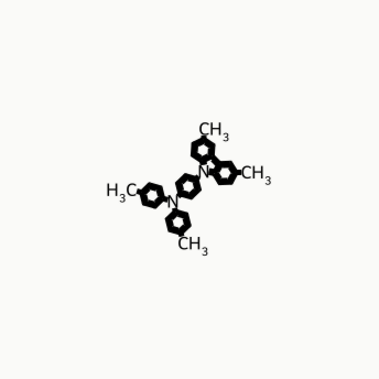 Cc1ccc(N(c2ccc(C)cc2)c2ccc(-n3c4ccc(C)cc4c4cc(C)ccc43)cc2)cc1